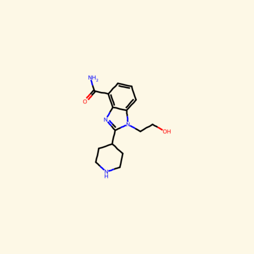 NC(=O)c1cccc2c1nc(C1CCNCC1)n2CCO